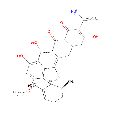 C=C(N)C1=C(O)CC2Cc3c(c(O)c4c(O)cc(OC)c5c4c3C[C@]53C(C)=CCC[C@@H]3C)C(=O)C2C1=O